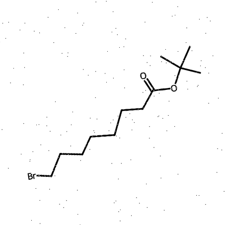 CC(C)(C)OC(=O)CCCCCCCBr